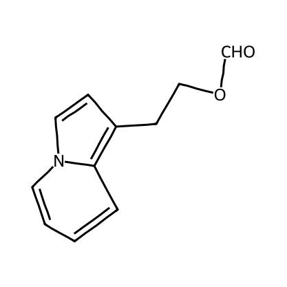 O=COCCc1ccn2ccccc12